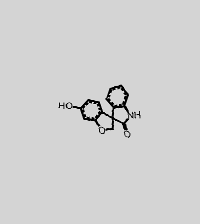 O=C1Nc2ccccc2C12COc1cc(O)ccc12